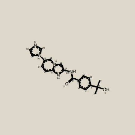 CC(C)(O)c1ccc(C(=O)Nc2cn3cc(-n4ccnc4)ccc3n2)cc1